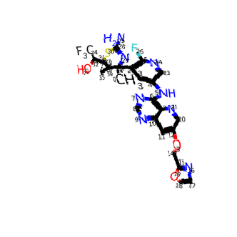 C[C@]1(c2cc(Nc3ncnc4cc(OCc5ncco5)cnc34)cnc2F)N=C(N)S[C@@]2([C@@H](O)C(F)(F)F)C[C@H]21